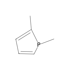 Cc1cccp1C